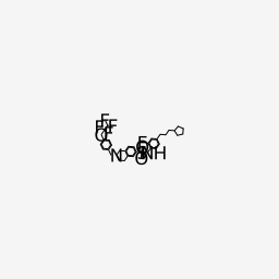 O=S(=O)(Nc1ccc(CCCC2CCCC2)cc1F)c1ccc2c(c1)CCN(Cc1ccc(OC(F)(F)C(F)F)cc1)C2